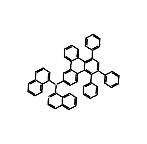 c1ccc(-c2cc(-c3ccccc3)c3c4ccccc4c4cc(N(c5cccc6ccccc56)c5nccc6ccccc56)ccc4c3c2-c2ccccc2)cc1